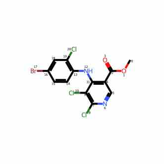 COC(=O)c1cnc(Cl)c(Cl)c1Nc1ccc(Br)cc1Cl